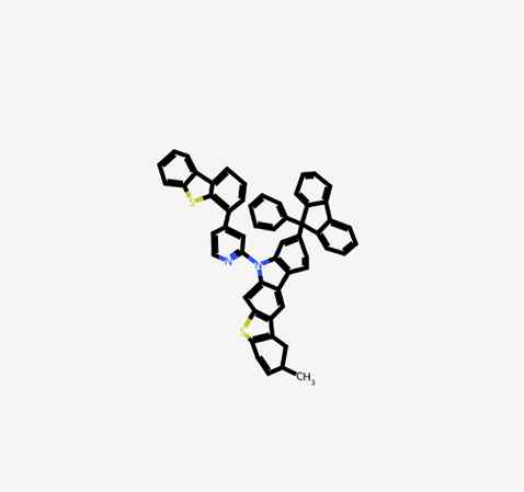 CC1C=Cc2sc3cc4c(cc3c2C1)c1ccc(C2(c3ccccc3)c3ccccc3-c3ccccc32)cc1n4-c1cc(-c2cccc3c2sc2ccccc23)ccn1